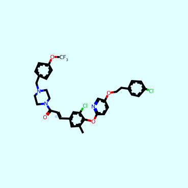 Cc1cc(/C=C/C(=O)N2CCN(Cc3ccc(OC(F)(F)F)cc3)CC2)cc(Cl)c1Oc1ccc(OCCc2ccc(Cl)cc2)cn1